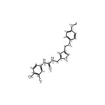 COc1ccc(OCc2noc(CNC(=O)Nc3ccc(Cl)c(Cl)c3)n2)cc1